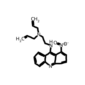 C=CCN(CC=C)CCNc1c2ccccc2nc2cccc([N+](=O)[O-])c12